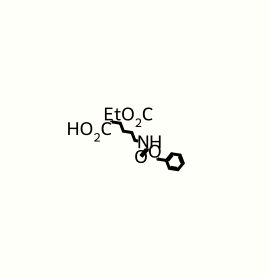 CCOC(=O)C(CCCCNC(=O)OCc1ccccc1)C(=O)O